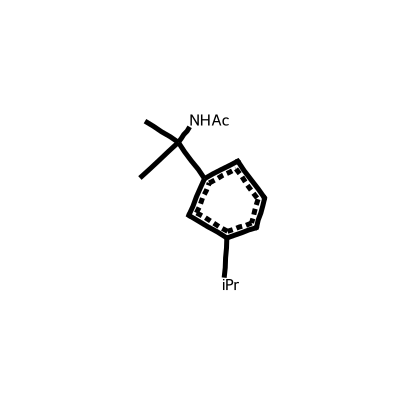 CC(=O)NC(C)(C)c1cccc(C(C)C)c1